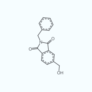 O=C1c2ccc(CO)cc2C(=O)N1Cc1ccccc1